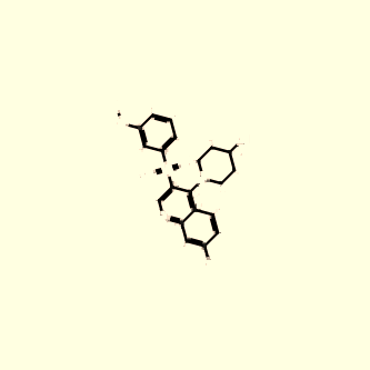 COc1cccc(S(=O)(=O)c2cnc3cc(Cl)ccc3c2N2CCC(C)CC2)c1